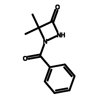 CC1(C)C(=O)NN1C(=O)c1ccccc1